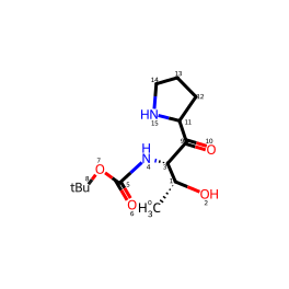 C[C@@H](O)[C@H](NC(=O)OC(C)(C)C)C(=O)C1CCCN1